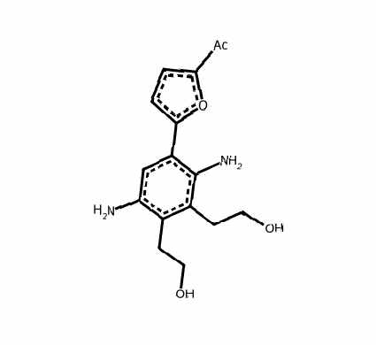 CC(=O)c1ccc(-c2cc(N)c(CCO)c(CCO)c2N)o1